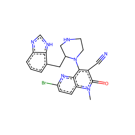 Cn1c(=O)c(C#N)c(N2CCNCC2Cc2cccc3nc[nH]c23)c2nc(Br)ccc21